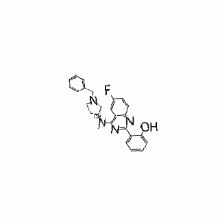 CN(c1nc(-c2ccccc2O)nc2ccc(F)cc12)[C@H]1CCN(Cc2ccccc2)C1